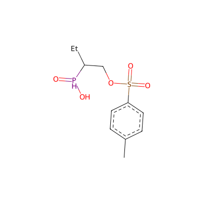 CCC(COS(=O)(=O)c1ccc(C)cc1)[PH](=O)O